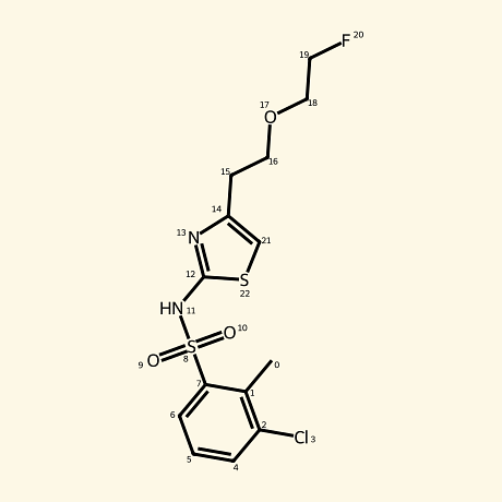 Cc1c(Cl)cccc1S(=O)(=O)Nc1nc(CCOCCF)cs1